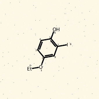 CCOc1ccc(O)c(I)c1